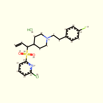 C=CC(C1CCN(CCc2ccc(F)cc2)CC1)S(=O)(=O)c1cccc(Cl)n1.Cl